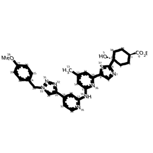 CCOC(=O)[C@H]1CC[C@@](O)(c2ncc(-c3cc(C)cc(Nc4cc(-c5cn(Cc6ccc(OC)cc6)nn5)ccn4)n3)s2)CC1